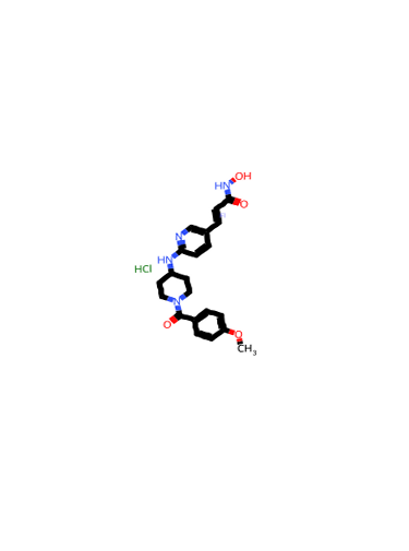 COc1ccc(C(=O)N2CCC(Nc3ccc(/C=C/C(=O)NO)cn3)CC2)cc1.Cl